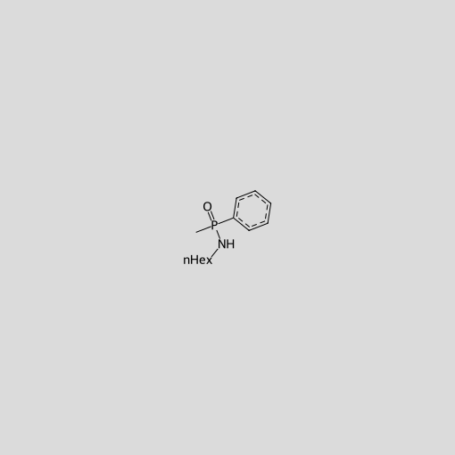 CCCCCCNP(C)(=O)c1ccccc1